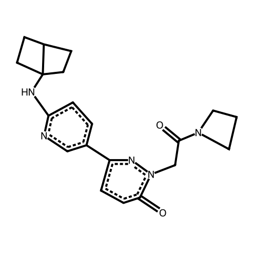 O=C(Cn1nc(-c2ccc(NC34CCC3CC4)nc2)ccc1=O)N1CCC1